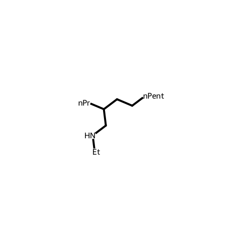 CCCCCCCC(CCC)CNCC